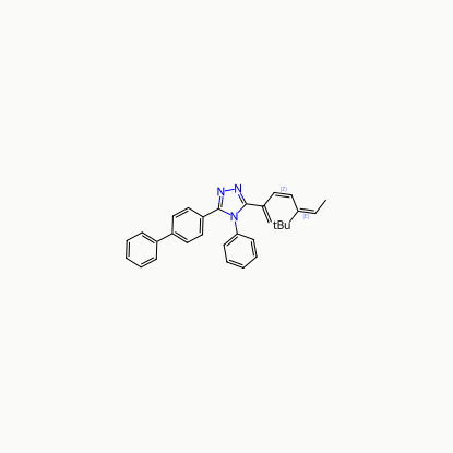 C=C(/C=C\C(=C/C)C(C)(C)C)c1nnc(-c2ccc(-c3ccccc3)cc2)n1-c1ccccc1